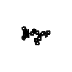 CC1(C)c2ccccc2-c2ccc(N(c3ccc4c(c3)oc3ccccc34)c3ccc4oc5cc(-c6nc(-c7ccccc7)nc(-c7ccccc7)n6)ccc5c4c3)cc21